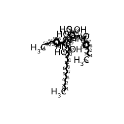 CCCCCCCCCCCCCC[C@@H](O)[C@@H](O)[C@H](CO[C@H]1O[C@H](CNC(=O)c2ccc(CCCC)cc2)[C@H](O)[C@H](O)[C@H]1O)NC(=O)c1ccc(CCCC)cc1